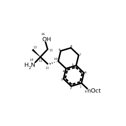 CCCCCCCCc1ccc2c(c1)CCC[C@H]2C[C@](C)(N)CO